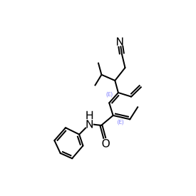 C=C/C(=C\C(=C/C)C(=O)Nc1ccccc1)C(CC#N)C(C)C